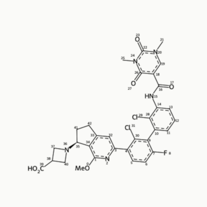 COc1nc(-c2ccc(F)c(-c3cccc(NC(=O)c4cn(C)c(=O)n(C)c4=O)c3Cl)c2Cl)cc2c1[C@@H](N1CC(C(=O)O)C1)CC2